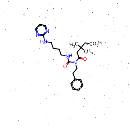 CC(C)(CC(=O)O)CC(=O)N(CCc1ccccc1)C(=O)NCCCCNc1ncccn1